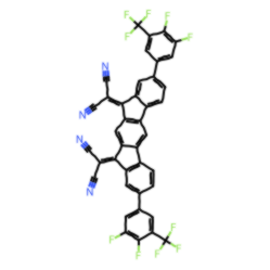 N#CC(C#N)=C1c2cc(-c3cc(F)c(F)c(C(F)(F)F)c3)ccc2-c2cc3c(cc21)C(=C(C#N)C#N)c1cc(-c2cc(F)c(F)c(C(F)(F)F)c2)ccc1-3